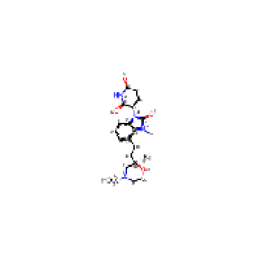 Cn1c(=O)n(C2CCC(=O)NC2=O)c2cccc(CC[C@]3(C(C)(C)C)CN(C(=O)O)CCO3)c21